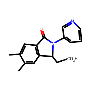 Cc1cc2c(cc1C)C(CC(=O)O)N(c1cccnc1)C2=O